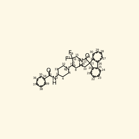 O=C(NC1CCN(CCCCC2(C(=O)NCC(F)(F)F)c3ccccc3-c3ccccc32)CC1)c1ccccc1